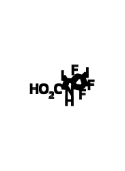 O=C(O)c1[nH]c2c(F)c(F)c(I)c(F)c2c1I